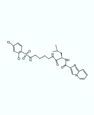 CC(C)C[C@@H](NC(=O)c1cn2ccccc2n1)C(=O)NCCCCNS(=O)(=O)c1ccc(Cl)cc1Cl